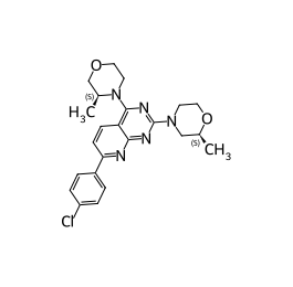 C[C@H]1CN(c2nc(N3CCOC[C@@H]3C)c3ccc(-c4ccc(Cl)cc4)nc3n2)CCO1